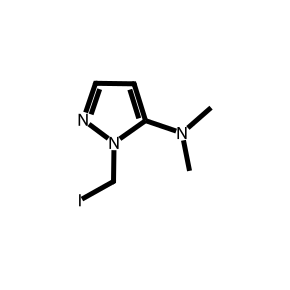 CN(C)c1ccnn1CI